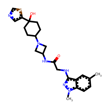 Cc1ccc2c(c1)c(NCC(=O)NC1CN(C3CCC(O)(c4cncs4)CC3)C1)nn2C